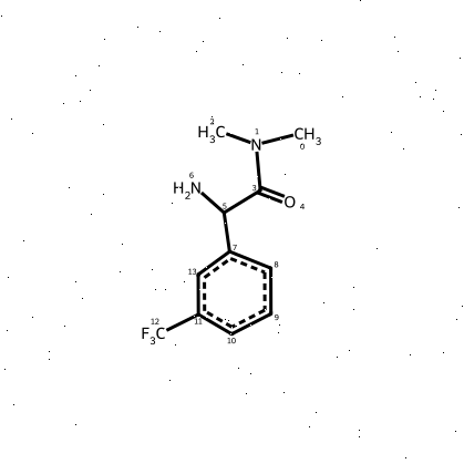 CN(C)C(=O)C(N)c1cccc(C(F)(F)F)c1